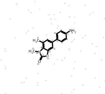 Cc1cc(-c2ccc(N)cc2)cc2oc(=O)n(C)c12